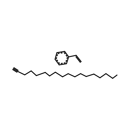 C#CCCCCCCCCCCCCCCCC.C=Cc1ccccc1